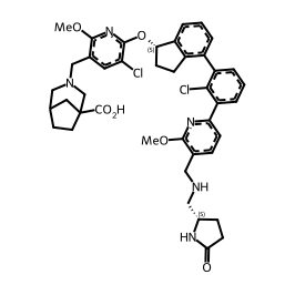 COc1nc(-c2cccc(-c3cccc4c3CC[C@@H]4Oc3nc(OC)c(CN4CC5CCC(C(=O)O)(C5)C4)cc3Cl)c2Cl)ccc1CNC[C@@H]1CCC(=O)N1